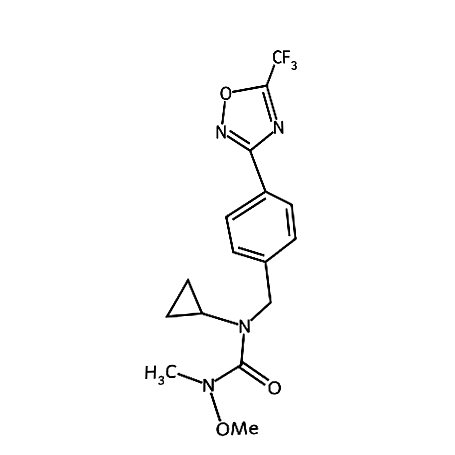 CON(C)C(=O)N(Cc1ccc(-c2noc(C(F)(F)F)n2)cc1)C1CC1